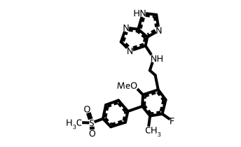 COc1c(CCNc2ncnc3[nH]cnc23)cc(F)c(C)c1-c1ccc(S(C)(=O)=O)cc1